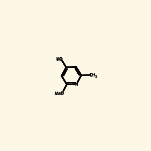 COc1cc(O)cc(C)n1